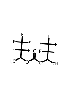 CC(OC(=O)OC(C)C(F)(F)C(F)(F)F)C(F)(F)C(F)(F)F